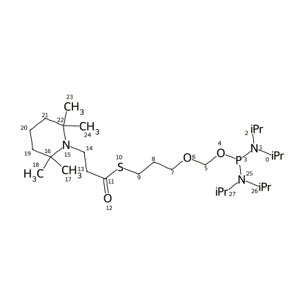 CC(C)N(C(C)C)P(OCOCCCSC(=O)CCN1C(C)(C)CCCC1(C)C)N(C(C)C)C(C)C